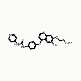 COCCOc1cc2nccc(Oc3ccc(NC(=O)Nc4ccncc4)cc3)c2cc1C#N